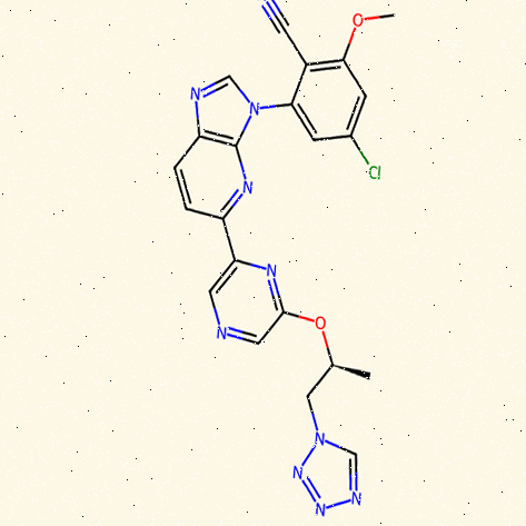 COc1cc(Cl)cc(-n2cnc3ccc(-c4cncc(O[C@@H](C)Cn5cnnn5)n4)nc32)c1C#N